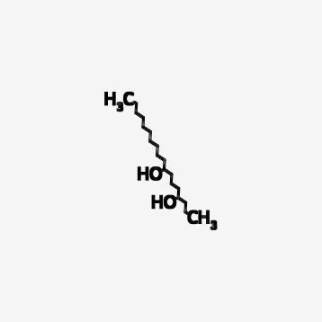 CCCCCCCCCCC(O)CCCC(O)CCC